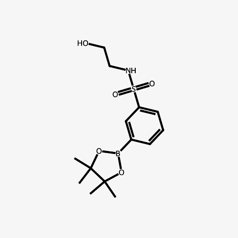 CC1(C)OB(c2cccc(S(=O)(=O)NCCO)c2)OC1(C)C